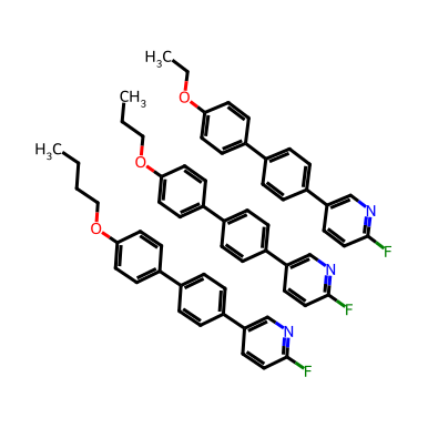 CCCCOc1ccc(-c2ccc(-c3ccc(F)nc3)cc2)cc1.CCCOc1ccc(-c2ccc(-c3ccc(F)nc3)cc2)cc1.CCOc1ccc(-c2ccc(-c3ccc(F)nc3)cc2)cc1